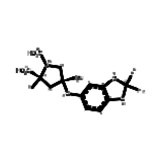 CC(C)(C)[C@]1(Oc2ccc3c(c2)OC(F)(F)O3)CN(C(=O)O)[C@](C)(C(=O)O)C1